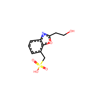 O=S(=O)(O)Cc1cccc2nc(CCO)oc12